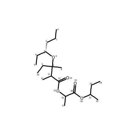 CCC[C@@H](CC)OC(C)(CC)C(C)C(=O)OC(C)C(=O)OC(C)CC